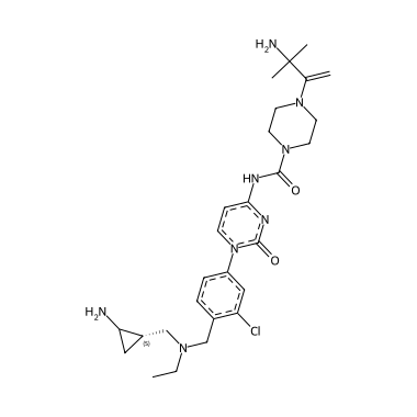 C=C(N1CCN(C(=O)Nc2ccn(-c3ccc(CN(CC)C[C@@H]4CC4N)c(Cl)c3)c(=O)n2)CC1)C(C)(C)N